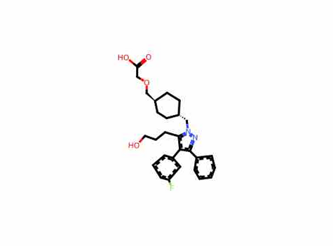 O=C(O)COC[C@H]1CC[C@H](Cn2nc(-c3ccccc3)c(-c3cccc(F)c3)c2CCCO)CC1